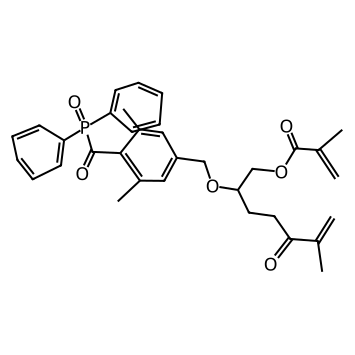 C=C(C)C(=O)CCC(COC(=O)C(=C)C)OCc1cc(C)c(C(=O)P(=O)(c2ccccc2)c2ccccc2)c(C)c1